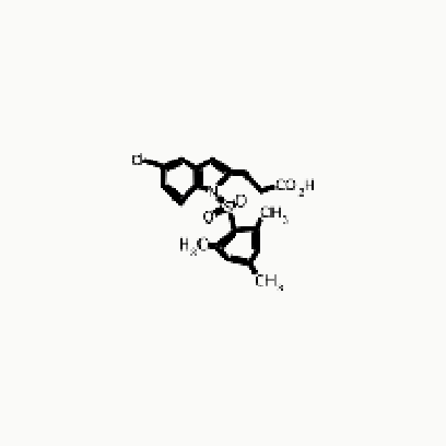 Cc1cc(C)c(S(=O)(=O)n2c(CCC(=O)O)cc3cc(Cl)ccc32)c(C)c1